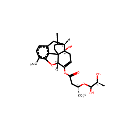 COc1ccc2c3c1O[C@H]1C(OC(=O)C[C@H](OC(O)[C@H](C)O)C(=O)O)=CC[C@@]4(O)[C@@H](C2)C(C)CCC314